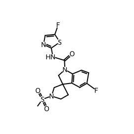 CS(=O)(=O)N1CCC2(CN(C(=O)Nc3ncc(F)s3)c3ccc(F)cc32)C1